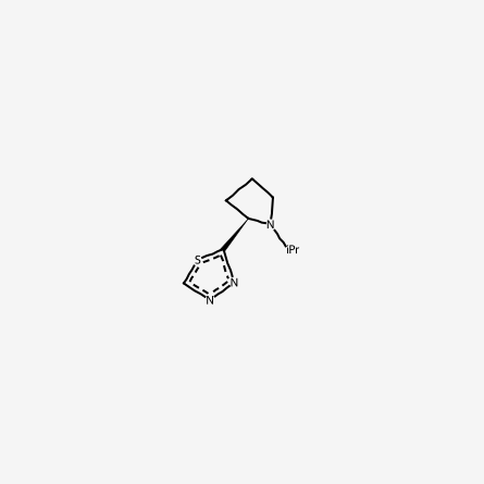 CC(C)N1CCC[C@@H]1c1nncs1